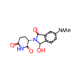 CNc1ccc2c(c1)C(=O)N(C1CCC(=O)NC1=O)C2O